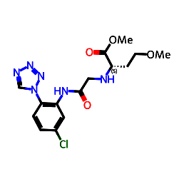 COCC[C@H](NCC(=O)Nc1cc(Cl)ccc1-n1cnnn1)C(=O)OC